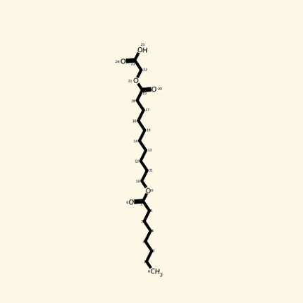 CCCCCCCC(=O)OCCCCCCCCCC(=O)OCC(=O)O